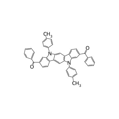 Cc1ccc(-n2c3cc(C(=O)c4ccccc4)ccc3c3cc4c(cc32)c2ccc(C(=O)c3ccccc3)cc2n4-c2ccc(C)cc2)cc1